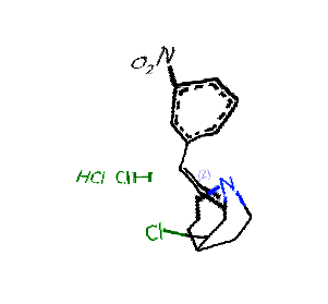 Cl.Cl.O=[N+]([O-])c1cccc(/C=C2/C(Cl)C3CCN2CC3)c1